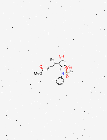 CC[C@@H](CC=CC(=O)OC)[C@@H]1[C@@H](CN(c2ccccc2)S(=O)(=O)CC)[C@H](O)C[C@@H]1O